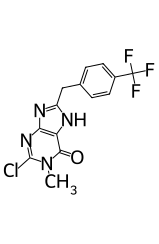 Cn1c(Cl)nc2nc(Cc3ccc(C(F)(F)F)cc3)[nH]c2c1=O